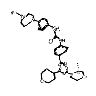 CC(C)N1CCN(c2ccc(NC(=O)Nc3ccc(-c4nc(C5CCOCC5)nc(N5CCOC[C@H]5C)n4)cc3)cc2)CC1